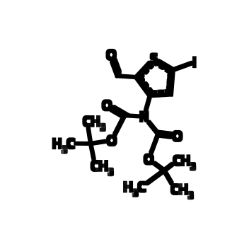 CC(C)(C)OC(=O)N(C(=O)OC(C)(C)C)c1cc(I)sc1C=O